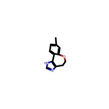 Cc1ccc2c(c1)OCCc1nc[nH]c1-2